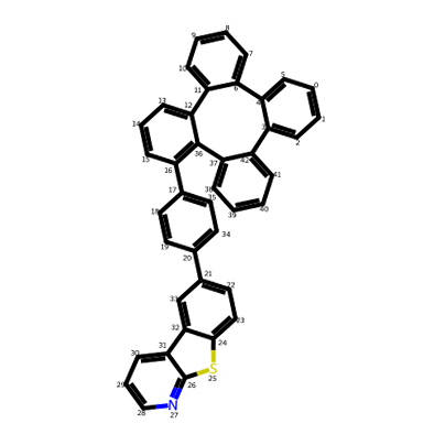 c1ccc2c(c1)-c1ccccc1-c1cccc(-c3ccc(-c4ccc5sc6ncccc6c5c4)cc3)c1-c1ccccc1-2